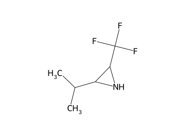 CC(C)C1NC1C(F)(F)F